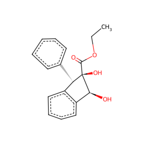 CCOC(=O)[C@@]1(O)[C@@H](c2ccccc2)c2ccccc2[C@@H]1O